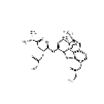 CCCCOC(=O)C[C@H](CC(=O)[C@H](C)OC(C)=O)C(=O)OC1=CC[C@@]2(O)[C@H]3Cc4ccc(OC(=O)OC(C)(C)C)c5c4[C@@]2(CCN3C)[C@H]1O5